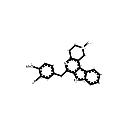 COc1ccc(Cc2nc3c(c4c2[nH]c2ccccc24)C[S+]([O-])CC3)cc1F